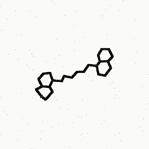 C(CCCN1CCCC2CCCCC21)CCN1CCCC2CCCCC21